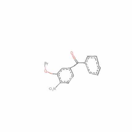 CC(C)Oc1cc(C(=O)c2ccccc2)ccc1[N+](=O)[O-]